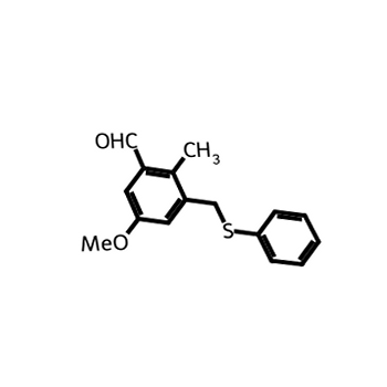 COc1cc(C=O)c(C)c(CSc2ccccc2)c1